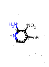 CCCc1ccnc(N)c1[N+](=O)[O-]